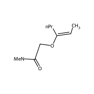 C/C=C(\CCC)OCC(=O)NC